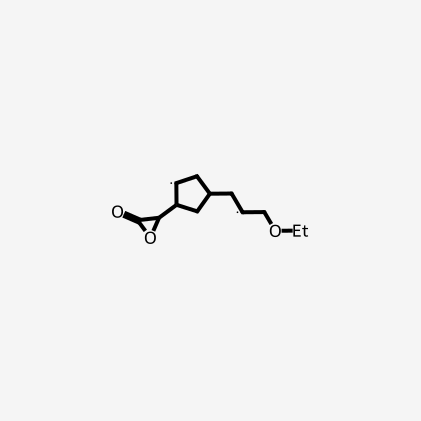 CCOC[CH]CC1C[CH]C(C2OC2=O)C1